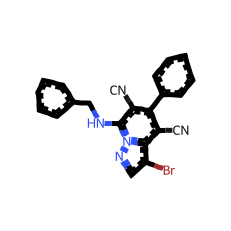 [C-]#[N+]c1c(-c2ccccc2)c(C#N)c2c(Br)cnn2c1NCc1ccccc1